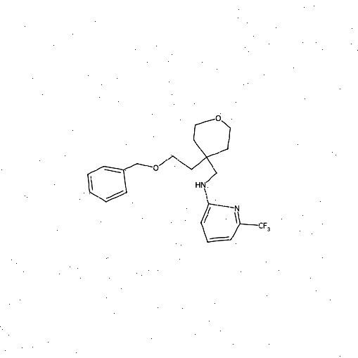 FC(F)(F)c1cccc(NCC2(CCOCc3ccccc3)CCOCC2)n1